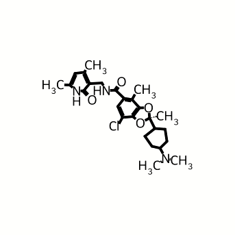 Cc1cc(C)c(CNC(=O)c2cc(Cl)c3c(c2C)O[C@@](C)(C2CCC(N(C)C)CC2)O3)c(=O)[nH]1